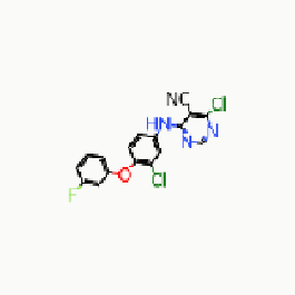 N#Cc1c(Cl)ncnc1Nc1ccc(Oc2cccc(F)c2)c(Cl)c1